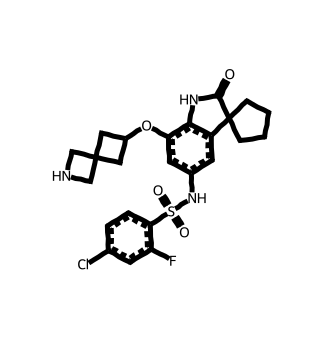 O=C1Nc2c(OC3CC4(CNC4)C3)cc(NS(=O)(=O)c3ccc(Cl)cc3F)cc2C12CCCC2